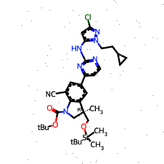 CC(C)(C)OC(=O)N1C[C@](C)(CO[Si](C)(C)C(C)(C)C)c2cc(-c3ccnc(Nc4cc(Cl)nn4CCC4CC4)n3)cc(C#N)c21